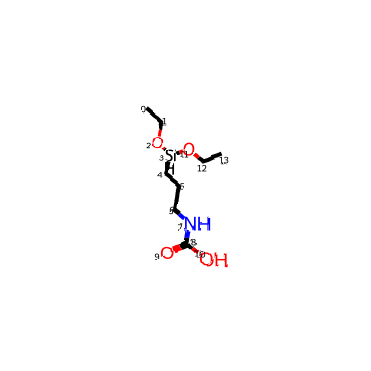 CCO[SiH](CCCNC(=O)O)OCC